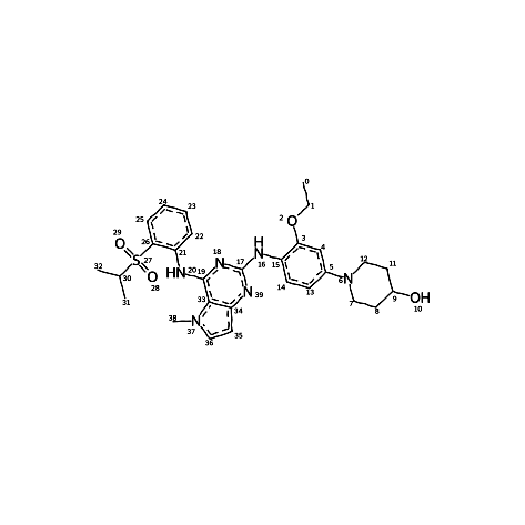 CCOc1cc(N2CCC(O)CC2)ccc1Nc1nc(Nc2ccccc2S(=O)(=O)C(C)C)c2c(ccn2C)n1